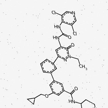 CCn1nc(-c2cccc(-c3cc(OCC4CC4)cc(C(=O)NC4CCN(C)CC4)c3)c2)cc(NC(=O)Nc2c(Cl)cncc2Cl)c1=O